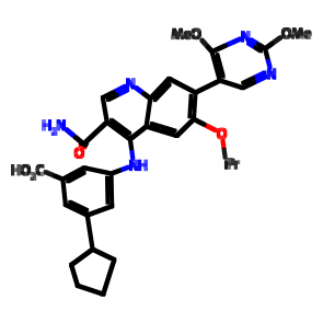 COc1ncc(-c2cc3ncc(C(N)=O)c(Nc4cc(C(=O)O)cc(C5CCCC5)c4)c3cc2OC(C)C)c(OC)n1